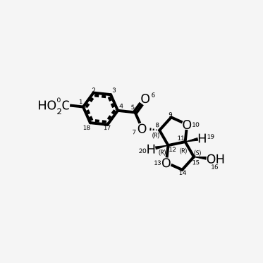 O=C(O)c1ccc(C(=O)O[C@@H]2CO[C@H]3[C@@H]2OC[C@@H]3O)cc1